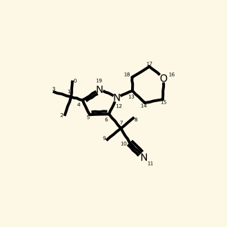 CC(C)(C)c1cc(C(C)(C)C#N)n(C2CCOCC2)n1